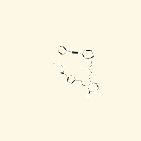 COC(=O)c1ccc(CCN2C(=O)SC=CN2CC[C@@H](O)Cc2cccc(C#Cc3ccsc3)c2)s1